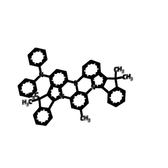 Cc1cc2c3c(c1)-n1c4c(c5c(N(c6ccccc6)c6ccccc6)ccc(c51)B3c1cccc3c5c(n-2c13)-c1ccccc1C5(C)C)C(C)(C)c1ccccc1-4